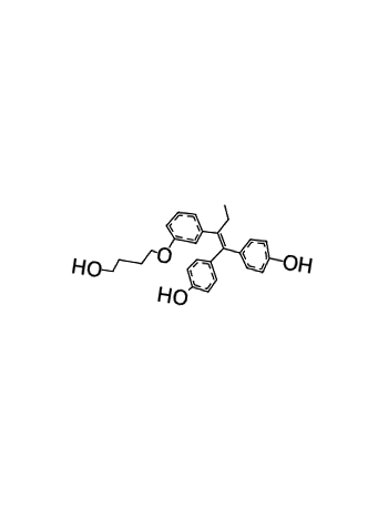 CCC(=C(c1ccc(O)cc1)c1ccc(O)cc1)c1cccc(OCCCCO)c1